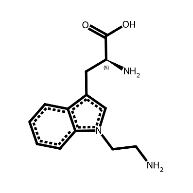 NCCn1cc(C[C@H](N)C(=O)O)c2ccccc21